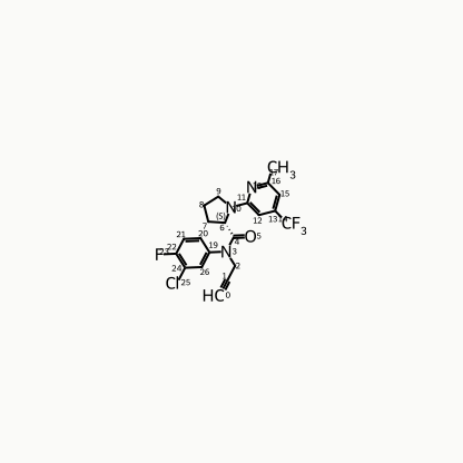 C#CCN(C(=O)[C@@H]1CCCN1c1cc(C(F)(F)F)cc(C)n1)c1ccc(F)c(Cl)c1